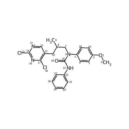 COc1ccc(N(CC(C)Cc2cnc(Cl)nc2Cl)C(=O)Nc2ccccc2)cc1